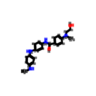 CNc1ccc(Nc2ccc(NC(=O)c3ccc(N(C)CCO)cc3)cc2)cc1